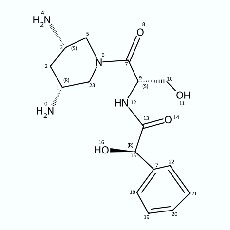 N[C@@H]1C[C@H](N)CN(C(=O)[C@H](CO)NC(=O)[C@H](O)c2ccccc2)C1